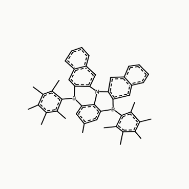 Cc1cc2c3c(c1)B(c1c(C)c(C)c(C)c(C)c1C)c1cc4ccccc4cc1N3c1cc3ccccc3cc1B2c1c(C)c(C)c(C)c(C)c1C